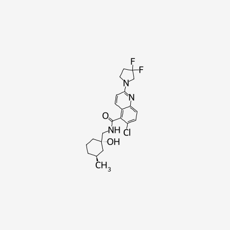 C[C@H]1CCC[C@@](O)(CNC(=O)c2c(Cl)ccc3nc(N4CCC(F)(F)C4)ccc23)C1